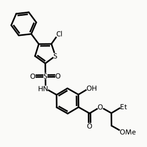 CCC(COC)OC(=O)c1ccc(NS(=O)(=O)c2cc(-c3ccccc3)c(Cl)s2)cc1O